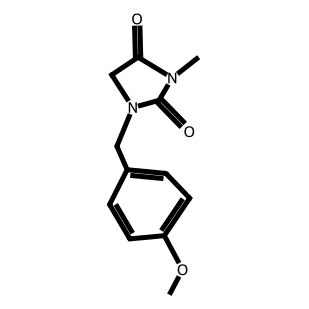 COc1ccc(CN2CC(=O)N(C)C2=O)cc1